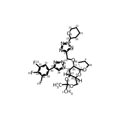 CC1(C)OC[C@H]2O[C@@]3(CCCO3)[C@H](OCc3nnn(C4CCCCO4)n3)[C@@H](n3cc(-c4cc(F)c(F)c(F)c4)nn3)[C@H]2O1